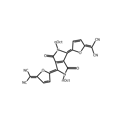 CCCCCCCCN1C(=O)C2=C(C(=O)N(CCCCCCCC)C2=c2ccc(=C(C#N)C#N)o2)C1=c1ccc(=C(C#N)C#N)o1